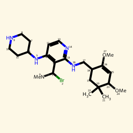 CNC(Br)c1c(NC2CCNCC2)ccnc1NCC1CC(C)(C)C(OC)C=C1OC